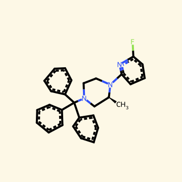 C[C@H]1CN(C(c2ccccc2)(c2ccccc2)c2ccccc2)CCN1c1cccc(F)n1